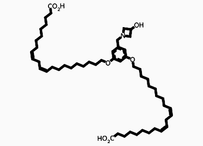 O=C(O)CCCCCCC/C=C\C/C=C\CCCCCCCCCOc1cc(CN2CC(O)C2)cc(OCCCCCCCCC/C=C\C/C=C\CCCCCCCC(=O)O)c1